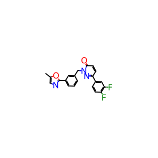 Cc1cnc(-c2cccc(Cn3nc(-c4ccc(F)c(F)c4)ccc3=O)c2)o1